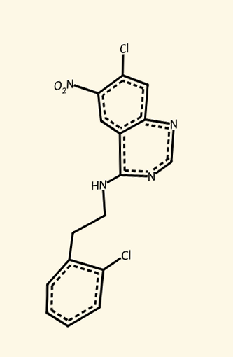 O=[N+]([O-])c1cc2c(NCCc3ccccc3Cl)ncnc2cc1Cl